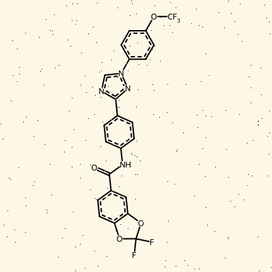 O=C(Nc1ccc(-c2ncn(-c3ccc(OC(F)(F)F)cc3)n2)cc1)c1ccc2c(c1)OC(F)(F)O2